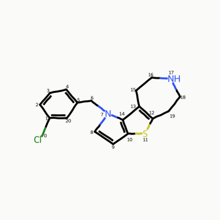 Clc1cccc(Cn2ccc3sc4c(c32)CCNCC4)c1